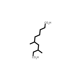 CC(CCCCC(=O)O)CC(C)CC(=O)O